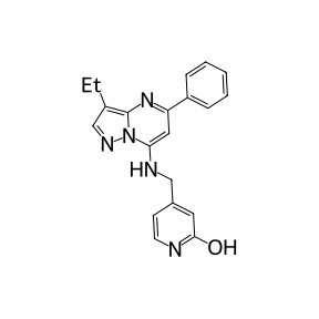 CCc1cnn2c(NCc3ccnc(O)c3)cc(-c3ccccc3)nc12